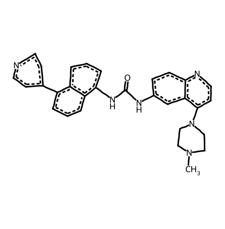 CN1CCN(c2ccnc3ccc(NC(=O)Nc4cccc5c(-c6ccncc6)cccc45)cc23)CC1